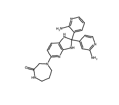 Nc1cc(C2(c3cccnc3N)Nc3ccc(N4CCCNC(=O)C4)nc3N2)ccn1